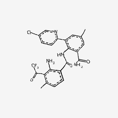 Cc1cc(C(N)=O)c(NC(=O)c2ccc(C)c(C(=O)C(F)(F)F)c2N)c(-c2ccc(Cl)cn2)c1